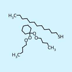 CCCCCCCCCCCCS.CCCCOOC1(OOCCCC)CCCCC1